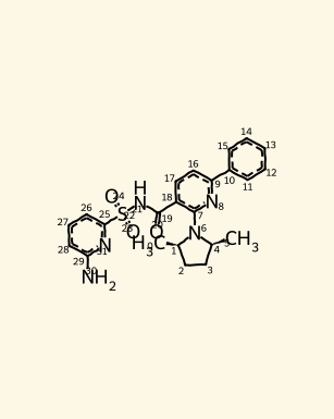 C[C@@H]1CC[C@H](C)N1c1nc(-c2ccccc2)ccc1C(=O)NS(=O)(=O)c1cccc(N)n1